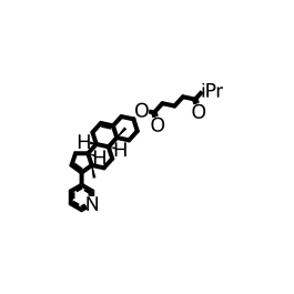 CC(C)C(=O)CCCC(=O)O[C@H]1CC[C@@]2(C)C(=CC[C@@H]3[C@@H]2CC[C@]2(C)C(c4cccnc4)=CC[C@@H]32)C1